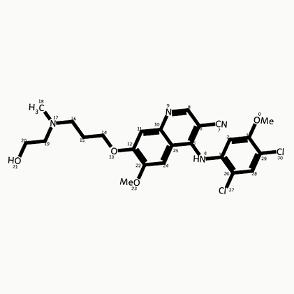 COc1cc(Nc2c(C#N)cnc3cc(OCCCN(C)CCO)c(OC)cc23)c(Cl)cc1Cl